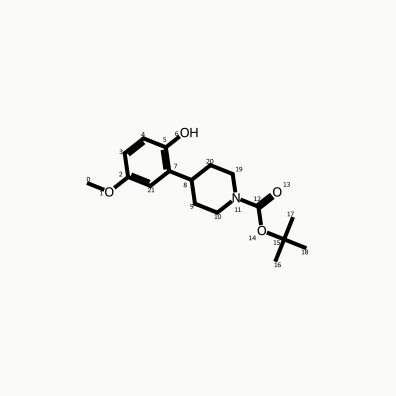 COc1ccc(O)c(C2CCN(C(=O)OC(C)(C)C)CC2)c1